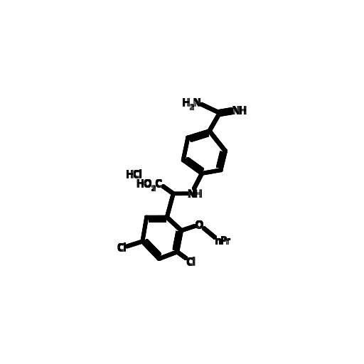 CCCOc1c(Cl)cc(Cl)cc1C(Nc1ccc(C(=N)N)cc1)C(=O)O.Cl